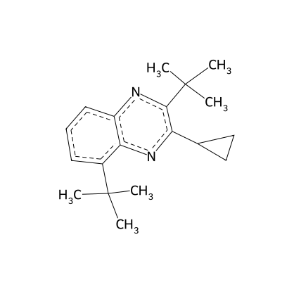 CC(C)(C)c1nc2cccc(C(C)(C)C)c2nc1C1CC1